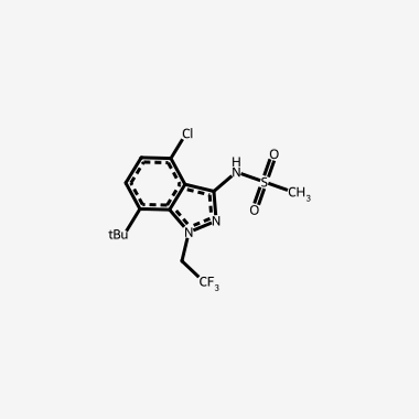 CC(C)(C)c1ccc(Cl)c2c(NS(C)(=O)=O)nn(CC(F)(F)F)c12